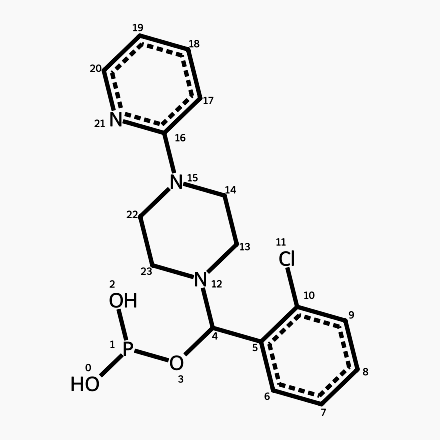 OP(O)OC(c1ccccc1Cl)N1CCN(c2ccccn2)CC1